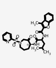 Cc1c(C(=O)NC(CC(C)C)C(=O)N[C@H]2CCCN(S(=O)(=O)c3ccccn3)CC2=O)oc2ccccc12